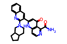 NC(=O)c1nccc2[nH]c(-c3cc4ccccc4nc3N3CCC4CCCC4C3)cc(=O)c12